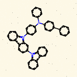 c1ccc(-c2ccc(N(c3ccccc3)c3ccc(-n4c5ccccc5c5ccc(-n6c7ccccc7c7ccccc76)cc54)cc3)cc2)cc1